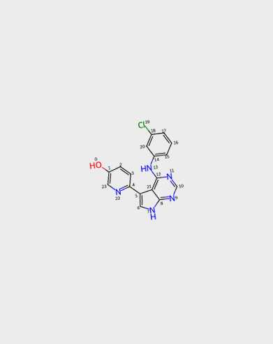 Oc1ccc(-c2c[nH]c3ncnc(Nc4cccc(Cl)c4)c23)nc1